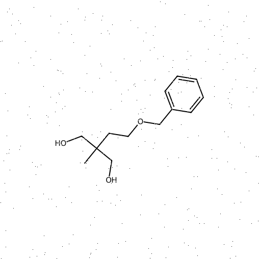 CC(CO)(CO)CCOCc1ccccc1